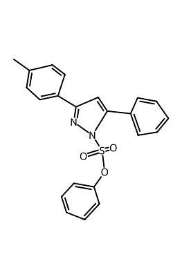 Cc1ccc(-c2cc(-c3ccccc3)n(S(=O)(=O)Oc3ccccc3)n2)cc1